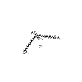 CCCCCCCCCCCCCCCC[P+](CCC)(CCC)CCCCCCCCCCCCCCCC.[Cl-]